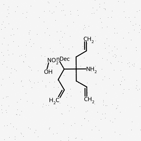 C=CCC(CCCCCCCCCC)C(N)(CC=C)CC=C.O=[N+]([O-])O